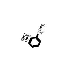 CC(=O)[O-].CC(=O)[O-].CC(=O)[O-].[Pb+3][c]1ccccc1